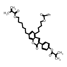 C=C(C)C(=O)OCCCCCCc1cc(CCCCOC(=O)C(C)C)c2cc(-c3ccc(OC(=O)C(=C)C)cc3)c(=O)oc2c1